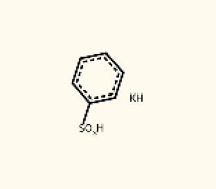 O=S(=O)(O)c1ccccc1.[KH]